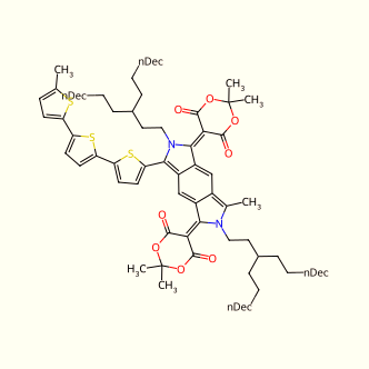 CCCCCCCCCCCCC(CCCCCCCCCCCC)CCn1c(C)c2cc3c(=C4C(=O)OC(C)(C)OC4=O)n(CCC(CCCCCCCCCCCC)CCCCCCCCCCCC)c(-c4ccc(-c5ccc(-c6ccc(C)s6)s5)s4)c3cc2c1=C1C(=O)OC(C)(C)OC1=O